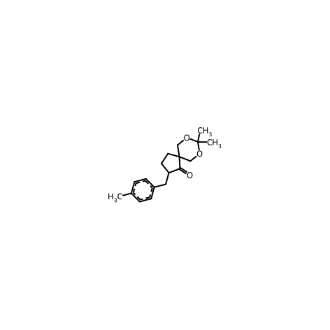 Cc1ccc(CC2CCC3(COC(C)(C)OC3)C2=O)cc1